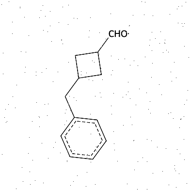 O=[C]C1CC(Cc2ccccc2)C1